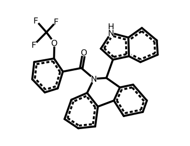 O=C(c1ccccc1OC(F)(F)F)N1c2ccccc2-c2ccccc2C1c1c[nH]c2ccccc12